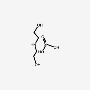 O=[Si](O)O.OCCNCCO